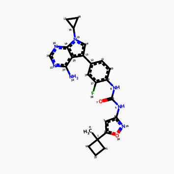 CC1(c2cc(NC(=O)Nc3ccc(-c4cn(C5CC5)c5ncnc(N)c45)cc3F)no2)CCC1